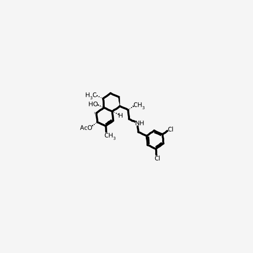 CC(=O)O[C@@H]1[C][C@@]2(O)[C@H](C)CC[C@@H]([C@H](C)CNCc3cc(Cl)cc(Cl)c3)[C@H]2C=C1C